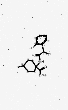 COC(=O)C1(NC(=O)C(Cl)c2ccccc2F)CCC(C)CC1